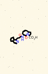 O=C(CCc1nccc2ccccc12)NC1CC=CCC2CCC(C(=O)O)N2C1=O